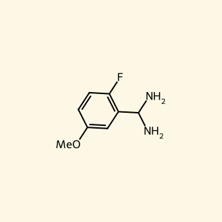 COc1ccc(F)c(C(N)N)c1